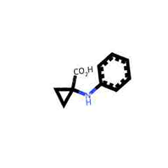 O=C(O)C1(Nc2ccccc2)CC1